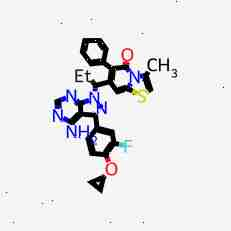 CCC(c1cc2scc(C)n2c(=O)c1-c1ccccc1)n1nc(-c2ccc(OC3CC3)c(F)c2)c2c(N)ncnc21